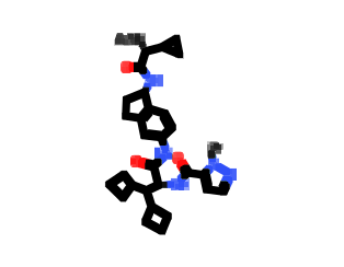 CC(=O)N[C@@H](C(=O)N[C@@H]1CCc2cc(NC(=O)[C@@H](NC(=O)c3ccnn3C(C)C)C(C3CCC3)C3CCC3)ccc21)C1CC1